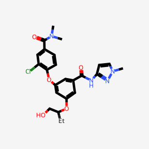 CCC(CO)Oc1cc(Oc2ccc(C(=O)N(C)C)cc2Cl)cc(C(=O)Nc2ccn(C)n2)c1